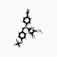 Cc1nc(N(Cc2ccc(OC(F)(F)F)cc2)c2ccc(C#N)cc2)sc1Cl